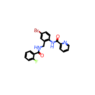 O=C(Nc1ccc(Br)cc1CNC(=O)c1ccccc1F)c1ccccn1